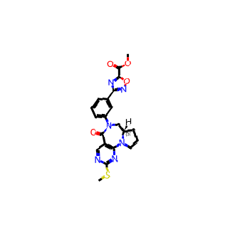 COC(=O)c1nc(-c2cccc(N3C[C@@H]4CCCN4c4nc(SC)ncc4C3=O)c2)no1